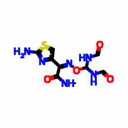 [NH]C(=O)C(=NOC(NC=O)NC=O)c1csc(N)n1